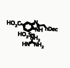 CCCCCCCCCCCc1nc2cc(C(=O)O)ccc2[nH]1.CS(=O)(=O)O.N=C(N)N